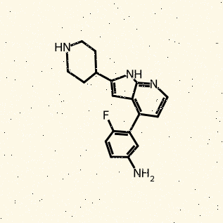 Nc1ccc(F)c(-c2ccnc3[nH]c(C4CCNCC4)cc23)c1